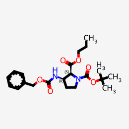 CCCOC(=O)[C@@H]1[C@H](NC(=O)OCc2ccccc2)CCN1C(=O)OC(C)(C)C